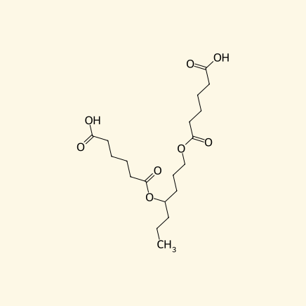 CCCC(CCCOC(=O)CCCCC(=O)O)OC(=O)CCCCC(=O)O